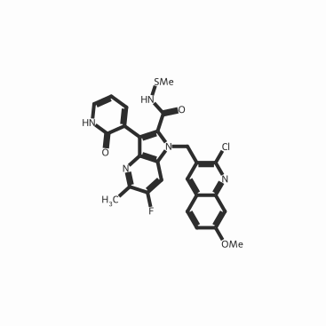 COc1ccc2cc(Cn3c(C(=O)NSC)c(-c4ccc[nH]c4=O)c4nc(C)c(F)cc43)c(Cl)nc2c1